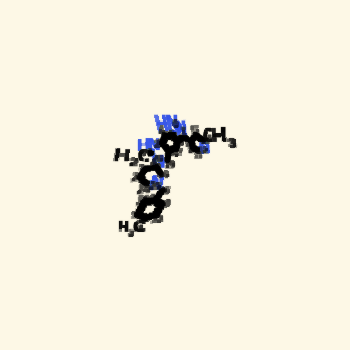 C=C1Nc2cc3[nH]nc(-c4ccnc(C)c4)c3cc2CN1[C@@H]1CCCN(Cc2ccc(C)cc2)C1